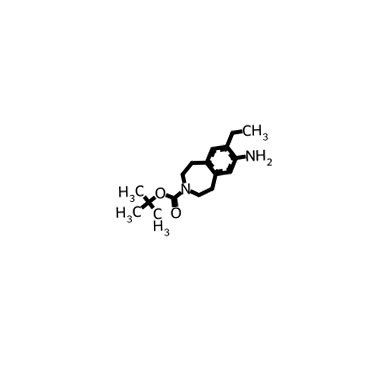 CCc1cc2c(cc1N)CCN(C(=O)OC(C)(C)C)CC2